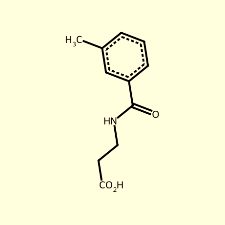 Cc1cccc(C(=O)NCCC(=O)O)c1